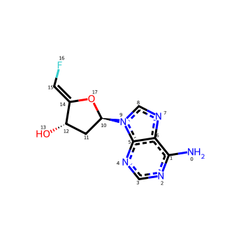 Nc1ncnc2c1ncn2[C@H]1C[C@H](O)C(=CF)O1